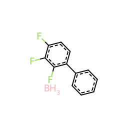 B.Fc1ccc(-c2ccccc2)c(F)c1F